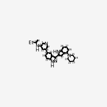 C=C(CC)Nc1cncc(-c2ccc3[nH]nc(-c4cc5c(N6CCCCC6)cccc5[nH]4)c3c2)c1